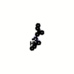 C=C/C=C(\C=C(/C)C1=C(Nc2ccc3ccccc3c2)CCC=C1)c1ccc2c(c1)c1ccccc1n2-c1ccc2ccccc2c1